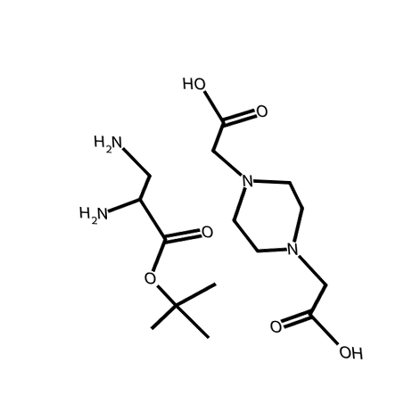 CC(C)(C)OC(=O)C(N)CN.O=C(O)CN1CCN(CC(=O)O)CC1